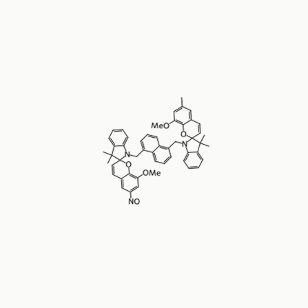 COc1cc(C)cc2c1OC1(C=C2)N(Cc2cccc3c(CN4c5ccccc5C(C)(C)C45C=Cc4cc(N=O)cc(OC)c4O5)cccc23)c2ccccc2C1(C)C